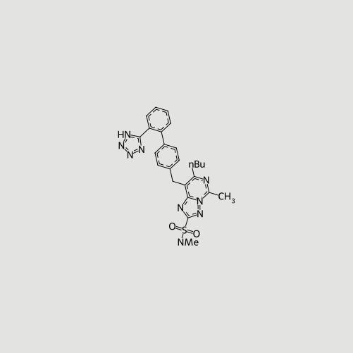 CCCCc1nc(C)n2nc(S(=O)(=O)NC)nc2c1Cc1ccc(-c2ccccc2-c2nnn[nH]2)cc1